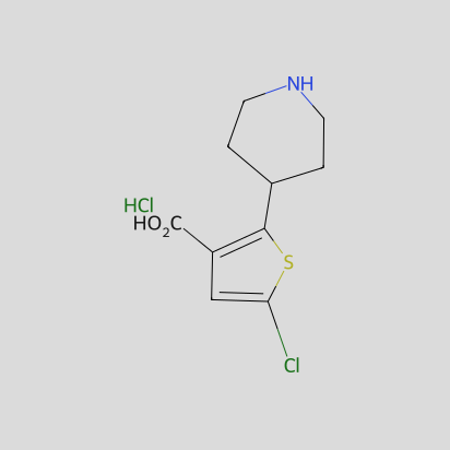 Cl.O=C(O)c1cc(Cl)sc1C1CCNCC1